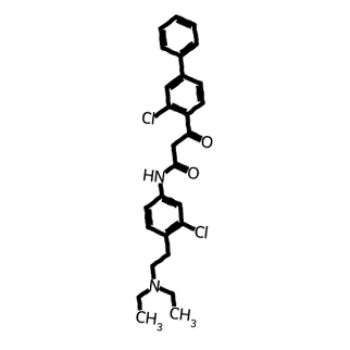 CCN(CC)CCc1ccc(NC(=O)CC(=O)c2ccc(-c3ccccc3)cc2Cl)cc1Cl